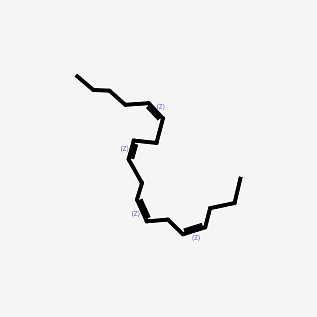 CCC/C=C\C/C=C\C/C=C\C/C=C\CCCC